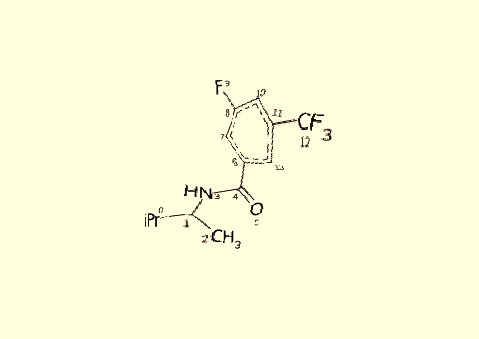 CC(C)C(C)NC(=O)c1cc(F)cc(C(F)(F)F)c1